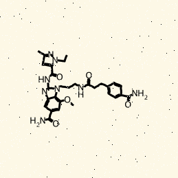 CCn1nc(C)cc1C(=O)Nc1nc2cc(C(N)=O)cc(OC)c2n1CCCNC(=O)CCc1ccc(C(N)=O)cc1